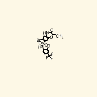 CCC1Oc2cc(S(=O)(=O)Nc3ccc(C(F)(F)F)cc3Cl)c(Br)cc2NC1=O